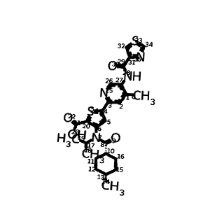 Cc1cc(-c2cc(N(C(=O)[C@H]3CC[C@H](C)CC3)C(C)C)c(C(=O)O)s2)ncc1NC(=O)c1cscn1